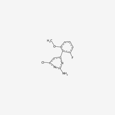 COc1cccc(F)c1-c1cc(Cl)nc(N)n1